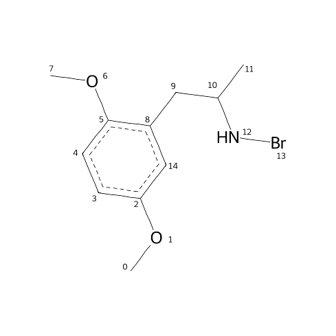 COc1ccc(OC)c(CC(C)NBr)c1